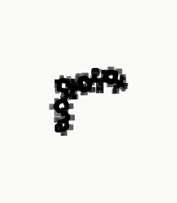 N[N+]12C=CN=CC1=C([C@@H]1CCCN(CC3CCOC3)C1)N=C2c1ccc(C(=O)Nc2cc(C(F)(F)F)ccn2)cc1